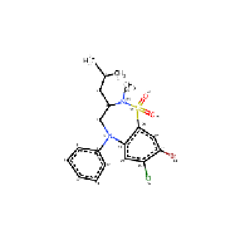 CC(C)CC1CN(c2ccccc2)c2cc(Cl)c(Br)cc2S(=O)(=O)N1C